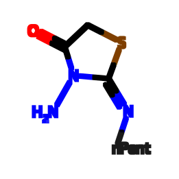 CCCCC/N=C1/SCC(=O)N1N